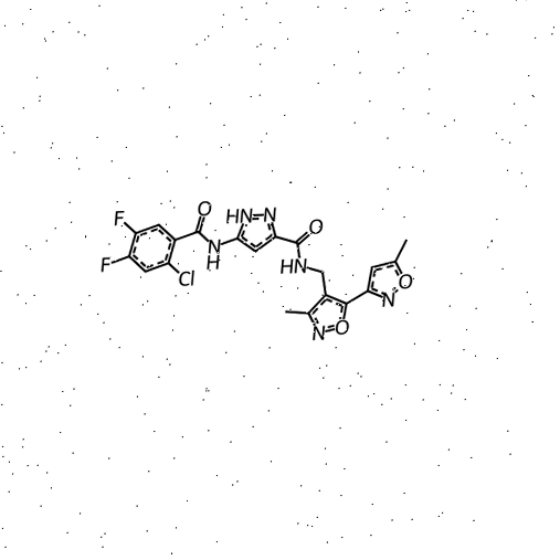 Cc1cc(-c2onc(C)c2CNC(=O)c2cc(NC(=O)c3cc(F)c(F)cc3Cl)[nH]n2)no1